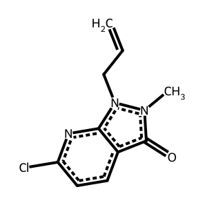 C=CCn1c2nc(Cl)ccc2c(=O)n1C